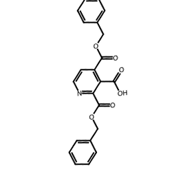 O=C(OCc1ccccc1)c1ccnc(C(=O)OCc2ccccc2)c1C(=O)O